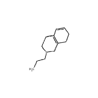 CCCN1CCC2=C(CCC=C2)C1